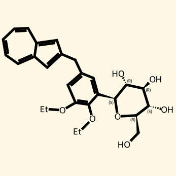 CCOc1cc(Cc2cc3cccccc-3c2)cc([C@@H]2O[C@H](CO)[C@@H](O)[C@H](O)[C@H]2O)c1OCC